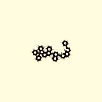 c1ccc(-c2ccc3ccc4ccc(-c5ccc(-c6cc7ccc8c(c7c7ccccc67)-c6ccccc6C8(c6ccccc6)c6ccccc6)c6ccccc56)nc4c3n2)cc1